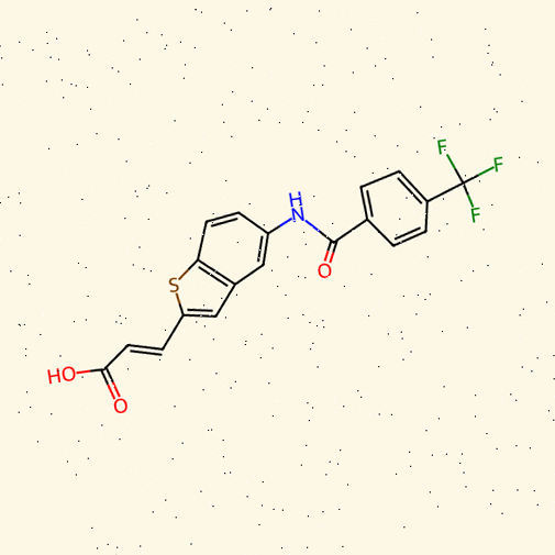 O=C(O)/C=C/c1cc2cc(NC(=O)c3ccc(C(F)(F)F)cc3)ccc2s1